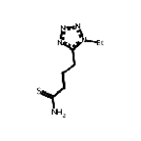 CCn1nnnc1CCCC(N)=S